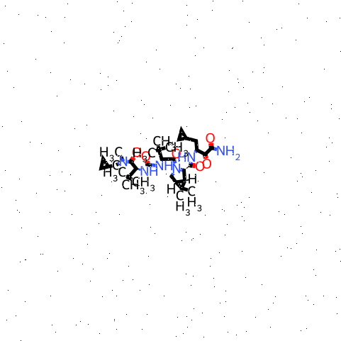 CN(CC1CC1)C(=O)[C@@H](NC(=O)N[C@H](C(=O)N1C[C@H]2[C@@H]([C@H]1C(=O)NC(CC1CC1)C(=O)C(N)=O)C2(C)C)C(C)(C)C)C(C)(C)C